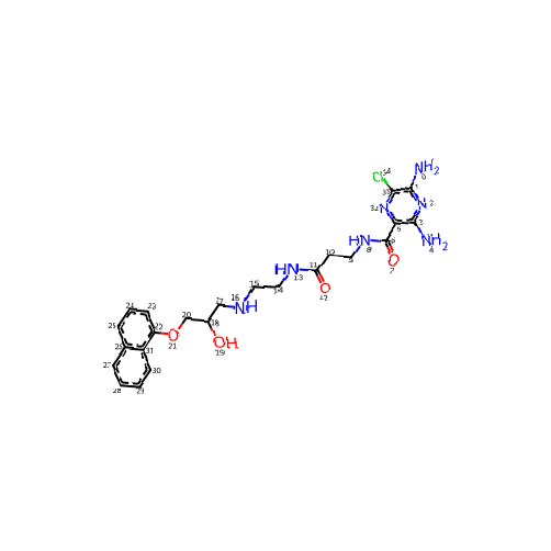 Nc1nc(N)c(C(=O)NCCC(=O)NCCNCC(O)COc2cccc3ccccc23)nc1Cl